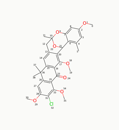 COc1cc(C)c2c(c1)OC1(C)Cc3cc4c(c(OC)c3C2O1)C(=O)c1c(cc(OC)c(Cl)c1OC)C4(C)C